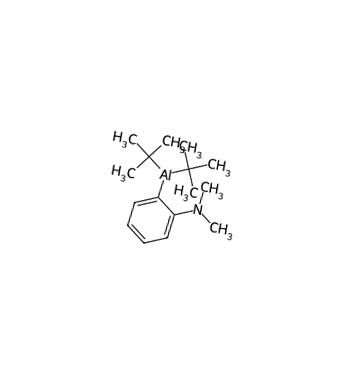 CN(C)c1cccc[c]1[Al]([C](C)(C)C)[C](C)(C)C